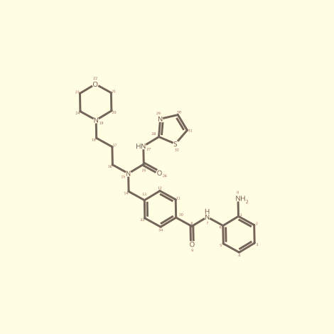 Nc1ccccc1NC(=O)c1ccc(CN(CCCN2CCOCC2)C(=O)Nc2nccs2)cc1